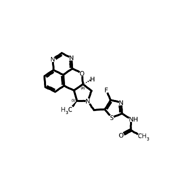 CC(=O)Nc1nc(F)c(CN2C[C@@H]3Oc4ncnc5cccc(c45)C3[C@@H]2C)s1